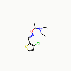 CCN(CC)C(C)ON=Cc1sccc1Cl